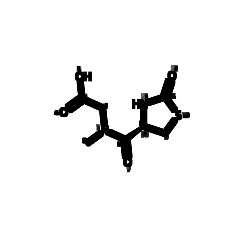 CN(CC(=O)O)C(=O)[C@@H]1CSC(=O)N1